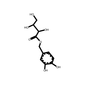 O=C(OCc1ccc(O)c(O)c1)C(O)C(O)CO